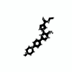 CCOC(=O)c1cnn(-c2nc(-c3ccc(N4CCN(C)CC4)cc3)cnc2N)c1